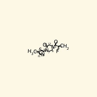 C=C(F)C(=O)N1CCN(c2ncc(C)s2)C(=O)C1